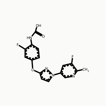 Cc1ncc(-n2ccc(Oc3ccc(NC(=O)O)c(F)c3)n2)cc1F